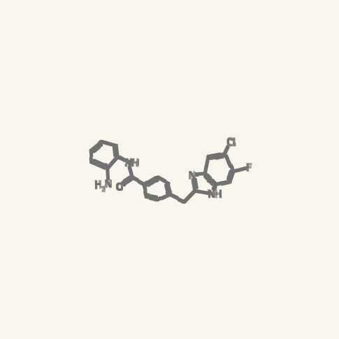 Nc1ccccc1NC(=O)c1ccc(Cc2nc3cc(Cl)c(F)cc3[nH]2)cc1